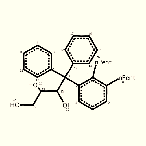 CCCCCc1cccc(C(c2ccccc2)(c2ccccc2)C(O)C(O)CO)c1CCCCC